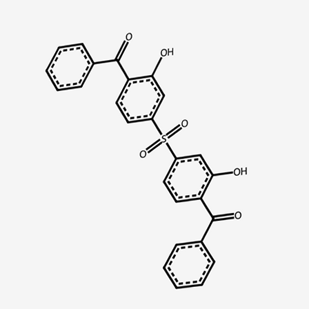 O=C(c1ccccc1)c1ccc(S(=O)(=O)c2ccc(C(=O)c3ccccc3)c(O)c2)cc1O